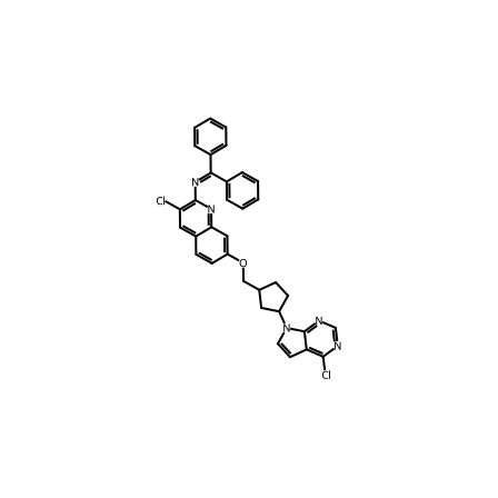 Clc1cc2ccc(OCC3CCC(n4ccc5c(Cl)ncnc54)C3)cc2nc1N=C(c1ccccc1)c1ccccc1